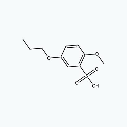 CCCOc1ccc(OC)c(S(=O)(=O)O)c1